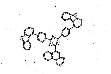 c1ccc2c(c1)cc(-c1nc(-c3ccc(-c4cccc5sc6ccccc6c45)cc3)nc(-c3ccc(-c4cccc5sc6ccccc6c45)cc3)n1)c1ccccc12